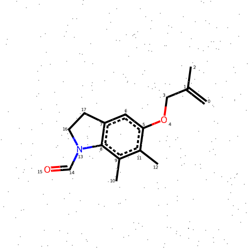 C=C(C)COc1cc2c(c(C)c1C)N(C=O)CC2